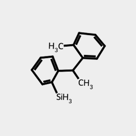 Cc1ccccc1C(C)c1ccccc1[SiH3]